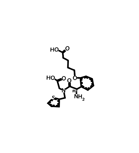 N[C@@H](C(=O)N(CC(=O)O)Cc1cccs1)c1ccccc1OCCCCC(=O)O